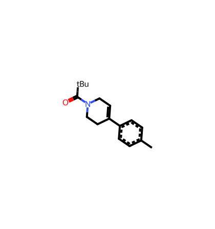 Cc1ccc(C2=CCN(C(=O)C(C)(C)C)CC2)cc1